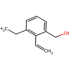 C=Cc1c(CC)cccc1CO